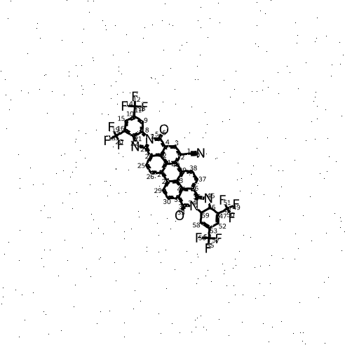 N#Cc1cc2c(=O)n3c4cc(C(F)(F)F)cc(C(F)(F)F)c4nc3c3ccc4c5ccc6c(=O)n7c(c8ccc(c1c4c23)c5c68)=NC1C(C(F)(F)F)=CC(C(F)(F)F)=CC17